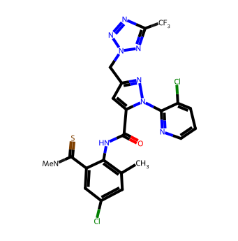 CNC(=S)c1cc(Cl)cc(C)c1NC(=O)c1cc(Cn2nnc(C(F)(F)F)n2)nn1-c1ncccc1Cl